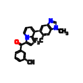 Cn1cnc2cc(-c3cccn4c(C(=O)c5cccc(C#N)c5)ccc34)c(C(F)(F)F)cc21